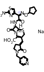 Nc1nc(/C(=N/OC2CCCC2)C(=O)N[C@@H]2C(=O)N3C(C(=O)O)=C(C=C4CCN(Cc5ccncc5)C4=O)CS[C@H]23)cs1.[NaH]